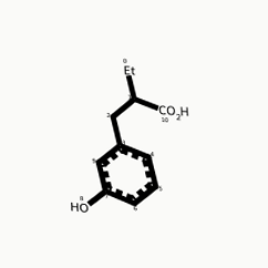 CCC(Cc1cccc(O)c1)C(=O)O